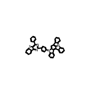 c1ccc(-c2nc(-c3ccc(-n4c5ccccc5c5c6c7ccccc7n7c8ccccc8c(cc54)c67)cc3)nc3c2sc2ccccc23)cc1